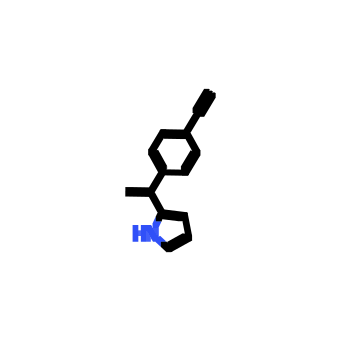 C#Cc1ccc(C(=C)c2ccc[nH]2)cc1